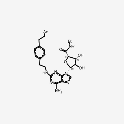 CCNC(=O)[C@H]1O[C@@H](n2cnc3c(N)nc(NCCc4ccc(CCC(C)=O)cc4)nc32)C(O)[C@H]1O